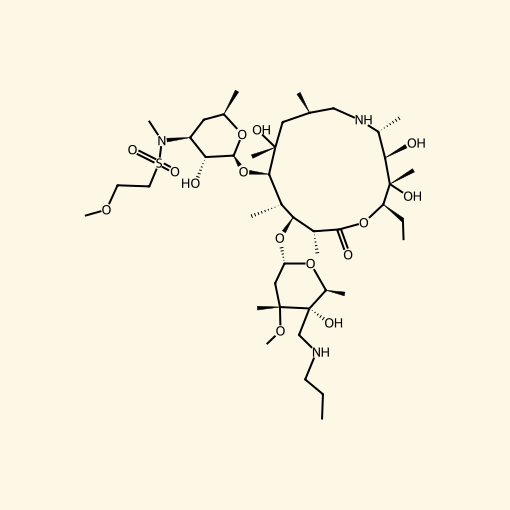 CCCNC[C@]1(O)[C@H](C)O[C@@H](O[C@H]2[C@H](C)[C@@H](O[C@@H]3O[C@H](C)C[C@H](N(C)S(=O)(=O)CCOC)[C@H]3O)[C@](C)(O)C[C@@H](C)CN[C@H](C)[C@@H](O)[C@](C)(O)[C@@H](CC)OC(=O)[C@@H]2C)C[C@@]1(C)OC